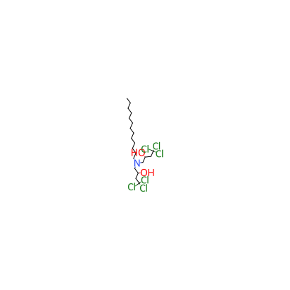 CCCCCCCCCCCCCN(CC(O)CC(Cl)(Cl)Cl)CC(O)CC(Cl)(Cl)Cl